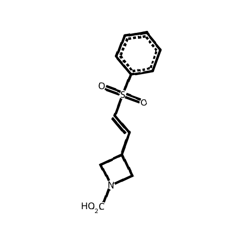 O=C(O)N1CC(C=CS(=O)(=O)c2ccccc2)C1